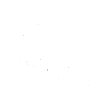 CCC(CC)Oc1ccc2c(C(=O)NC3CCN(CC(F)F)CC3)nn(C)c2n1